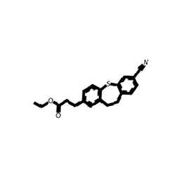 CCOC(=O)CCc1ccc2c(c1)CCc1ccc(C#N)cc1S2